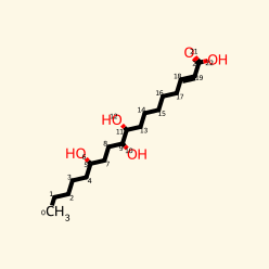 CCCCCC(O)CCC(O)C(O)CCCCCC=CC(=O)O